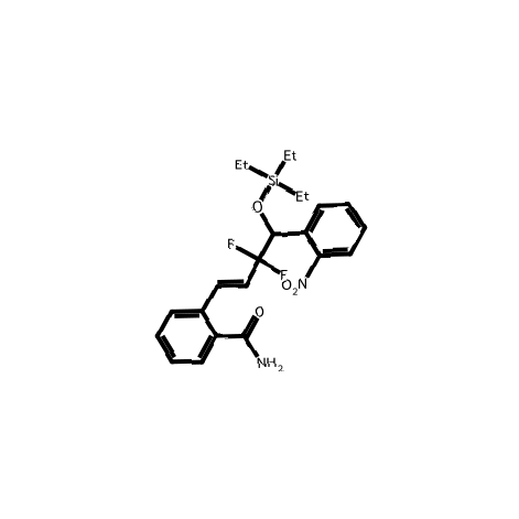 CC[Si](CC)(CC)OC(c1ccccc1[N+](=O)[O-])C(F)(F)C=Cc1ccccc1C(N)=O